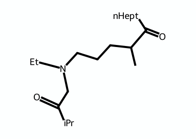 CCCCCCCC(=O)C(C)CCCN(CC)CC(=O)C(C)C